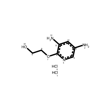 Cl.Cl.Nc1cnc(OCCO)c(N)c1